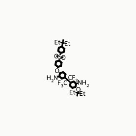 CCC(C)(CC)Oc1ccc(C(c2ccc(Oc3ccc(S(=O)(=O)c4ccc(C(C)(CC)CC)cc4)cc3)c(N)c2)(C(F)(F)F)C(F)(F)F)cc1N